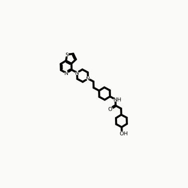 O=C(CC1CCC(O)CC1)NC1CCC(CCN2CCN(c3nccc4sccc34)CC2)CC1